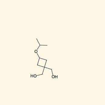 CC(C)OC1CC(CO)(CO)C1